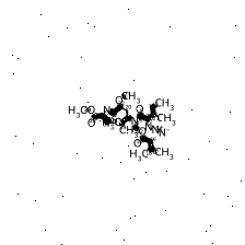 CC[C@H](C)[C@H](N=[N+]=[N-])C(=O)N(COC(=O)CC(C)C)[C@H](C[C@@H](OC)c1nc(C(=O)OC)cs1)C(C)C